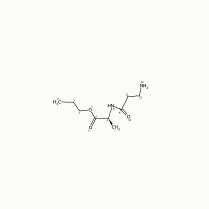 CCCOC(=O)[C@H](C)NC(=O)CCN